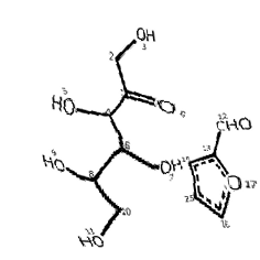 O=C(CO)C(O)C(O)C(O)CO.O=Cc1ccco1